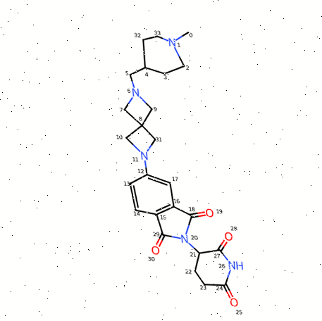 CN1CCC(CN2CC3(C2)CN(c2ccc4c(c2)C(=O)N(C2CCC(=O)NC2=O)C4=O)C3)CC1